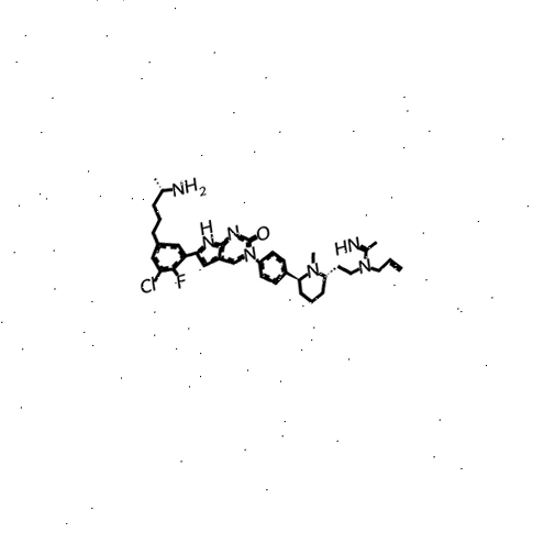 C=CCN(CC[C@@H]1CCC[C@@H](c2ccc(-n3cc4cc(-c5cc(CCC[C@H](C)N)cc(Cl)c5F)[nH]c4nc3=O)cc2)N1C)C(C)=N